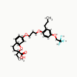 CCCc1cc(OCC(F)(F)F)ccc1OCCCOc1ccc2c(c1)OC(CC)(C(=O)O)CC2